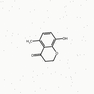 Cc1ccc(O)c2c1C(=O)CCO2